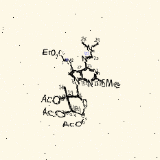 CCOC(=O)/C=N/c1cn(C2O[C@H](COC(C)=O)[C@@H](OC(C)=O)[C@@]2(C)OC(C)=O)c2nc(SC)nc(/N=C/N(C)C)c12